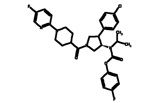 CC(C)N(C(=O)Oc1ccc(F)cc1)[C@@H]1CN(C(=O)C2CCN(c3ccc(F)cn3)CC2)CC1c1ccc(Cl)cc1